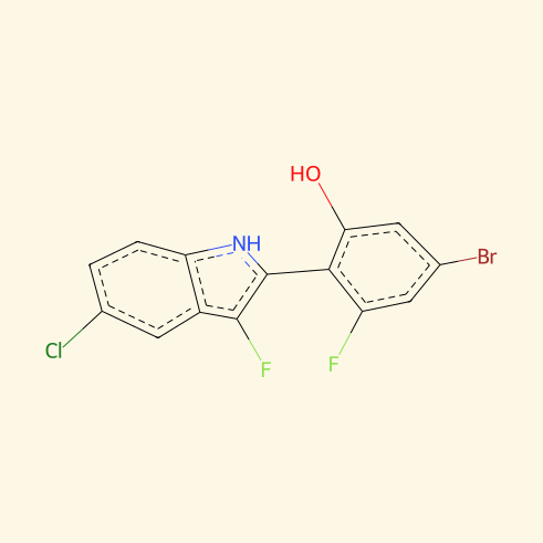 Oc1cc(Br)cc(F)c1-c1[nH]c2ccc(Cl)cc2c1F